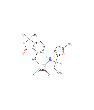 CCC(I)(Nc1c(Nc2c(F)ccc3c2C(=O)NC3(C)C)c(=O)c1=O)c1ccc(C)o1